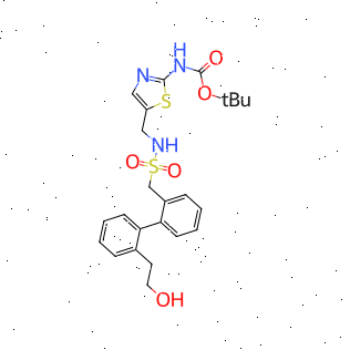 CC(C)(C)OC(=O)Nc1ncc(CNS(=O)(=O)Cc2ccccc2-c2ccccc2CCO)s1